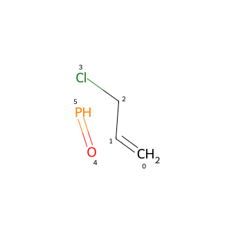 C=CCCl.O=P